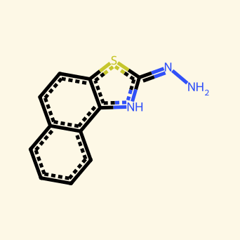 NN=c1[nH]c2c(ccc3ccccc32)s1